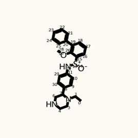 CCN1CCNCC1c1ccc(N[S+]([O-])c2cccc(-c3ccccc3)c2OC)cc1